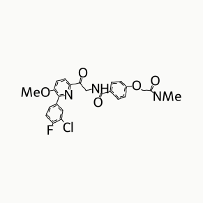 CNC(=O)COc1ccc(C(=O)NCC(=O)c2ccc(OC)c(-c3ccc(F)c(Cl)c3)n2)cc1